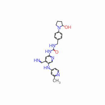 Cc1cc(Nc2cnc(NC(=O)NCc3ccc(N4CCCC4O)cc3)cc2C=N)ccn1